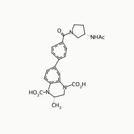 CC(=O)N[C@H]1CCN(C(=O)c2ccc(-c3ccc4c(c3)N(C(=O)O)C[C@H](C)N4C(=O)O)cc2)C1